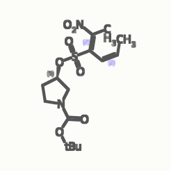 C/C=C\C(=C(/C)[N+](=O)[O-])S(=O)(=O)O[C@@H]1CCN(C(=O)OC(C)(C)C)C1